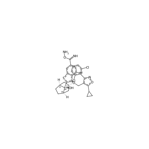 N=C(ON)c1cc(F)c2nc([C@]3(O)[C@@H]4CC[C@H]3C[C@H](OCc3c(-c5c(Cl)cccc5Cl)noc3C3CC3)C4)sc2c1